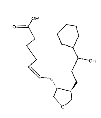 O=C(O)CCC/C=C\C[C@H]1COC[C@@H]1CCC(O)C1CCCCC1